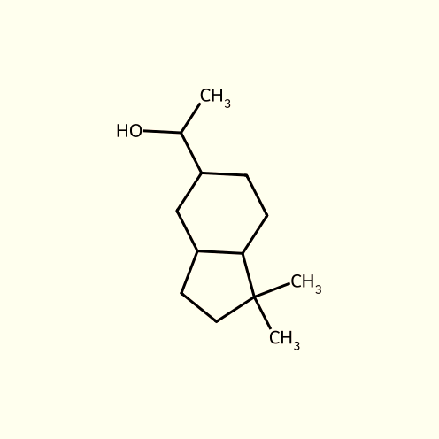 CC(O)C1CCC2C(CCC2(C)C)C1